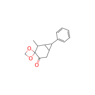 CC1C2C(CC(=O)C13OCO3)C2c1ccccc1